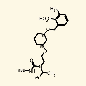 CCCCNC(=O)N(CCO[C@H]1CCC[C@@H](OCc2cccc(C)c2C(=O)O)C1)C(C)C(C)C